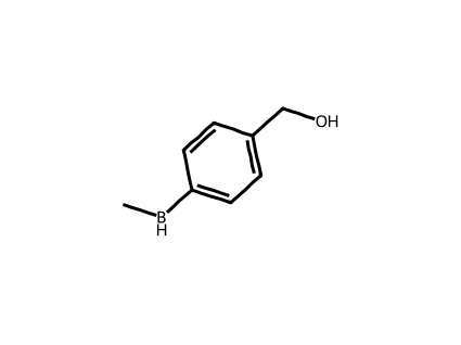 CBc1ccc(CO)cc1